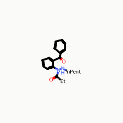 CCCCCNN(C(=O)CC)c1ccccc1C(=O)c1ccccc1